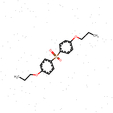 CCCOc1ccc(S(=O)(=O)c2ccc(OCCC)cc2)cc1